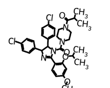 COc1ccc(C2=NC(c3ccc(Cl)cc3)C(c3ccc(Cl)cc3)N2C(=O)N2CCN(C(=O)C(C)C)CC2)c(OC(C)C)c1